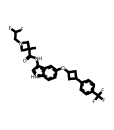 CC1(C(=O)Nc2c[nH]c3ccc(OC4CC(c5ccc(C(F)(F)F)cc5)C4)cc23)CN(CC(F)F)C1